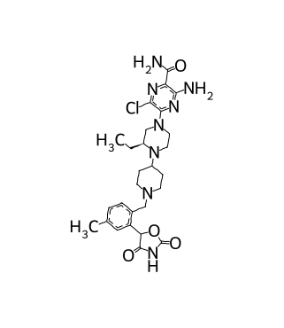 CC[C@H]1CN(c2nc(N)c(C(N)=O)nc2Cl)CCN1C1CCN(Cc2ccc(C)cc2C2OC(=O)NC2=O)CC1